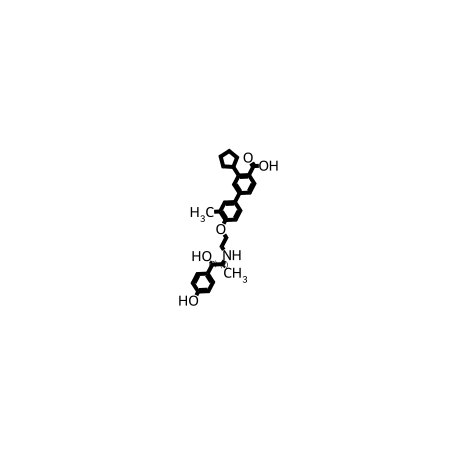 Cc1cc(-c2ccc(C(=O)O)c(C3CCCC3)c2)ccc1OCCN[C@H](C)[C@H](O)c1ccc(O)cc1